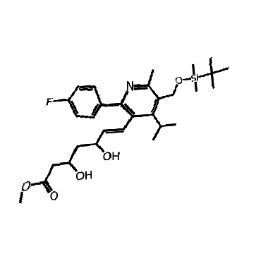 COC(=O)CC(O)CC(O)C=Cc1c(-c2ccc(F)cc2)nc(C)c(CO[Si](C)(C)C(C)(C)C)c1C(C)C